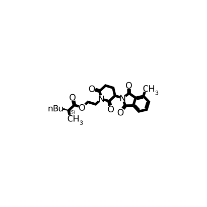 CCCC[C@H](C)C(=O)OCCN1C(=O)CCC(N2C(=O)c3cccc(C)c3C2=O)C1=O